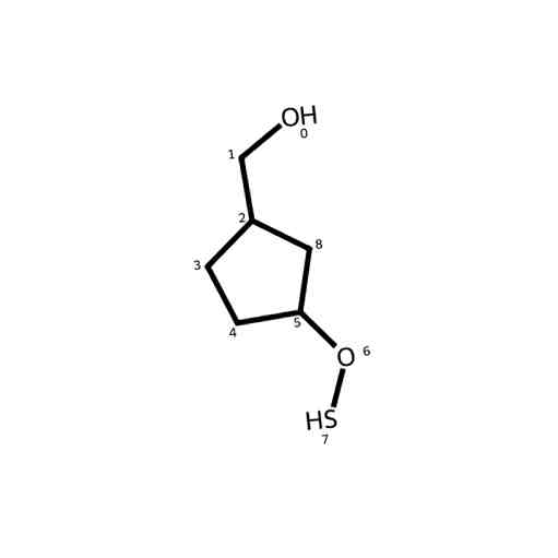 OCC1CCC(OS)C1